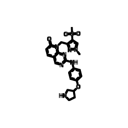 Cn1cc(S(C)(=O)=O)c(Cn2c(=O)ccc3cnc(Nc4ccc(OC5CCNC5)cc4)nc32)n1